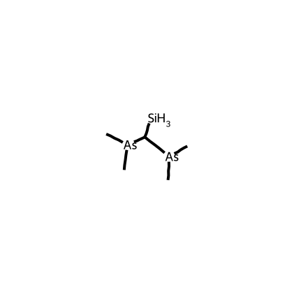 C[As](C)C([SiH3])[As](C)C